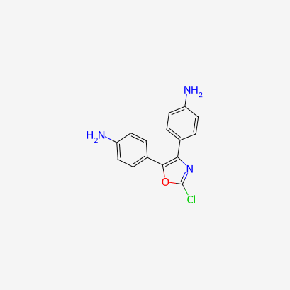 Nc1ccc(-c2nc(Cl)oc2-c2ccc(N)cc2)cc1